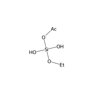 CCO[Si](O)(O)OC(C)=O